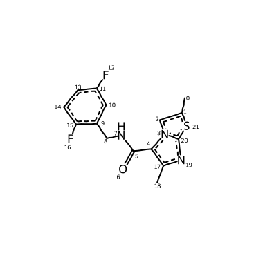 Cc1cn2c(C(=O)NCc3cc(F)ccc3F)c(C)nc2s1